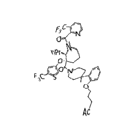 CCC[C@H]1N(C(=O)c2ncccc2C(F)(F)F)CCC[C@@]1(Oc1csc(C(F)(F)F)c1)C(=O)N1CCC(C)(c2ccccc2OCCCC(C)=O)CC1